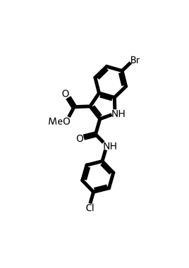 COC(=O)c1c(C(=O)Nc2ccc(Cl)cc2)[nH]c2cc(Br)ccc12